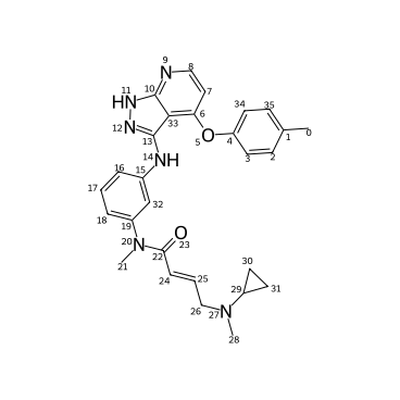 Cc1ccc(Oc2ccnc3[nH]nc(Nc4cccc(N(C)C(=O)/C=C/CN(C)C5CC5)c4)c23)cc1